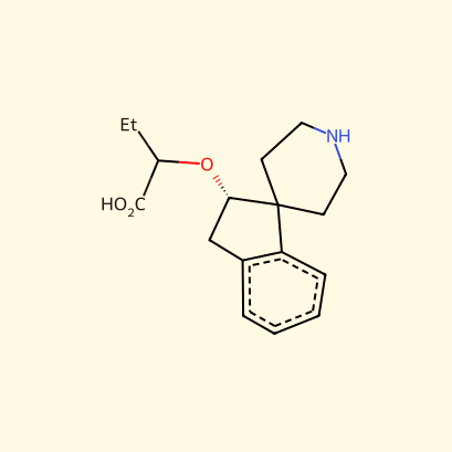 CCC(O[C@H]1Cc2ccccc2C12CCNCC2)C(=O)O